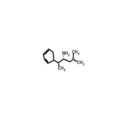 C[C@@H](C1C=CC=CC1)[C@H](N)CN(C)C